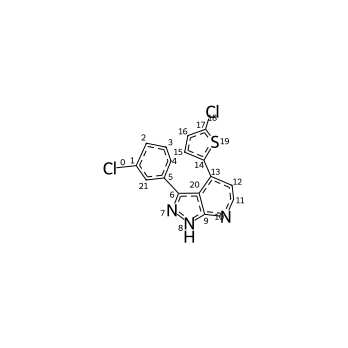 Clc1cccc(-c2n[nH]c3nccc(-c4ccc(Cl)s4)c23)c1